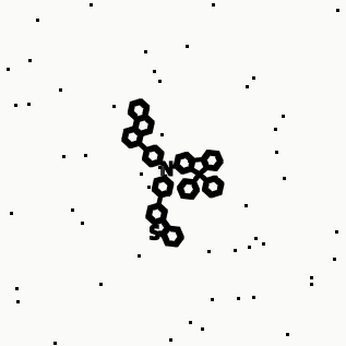 c1ccc(C2(c3ccccc3)c3ccccc3-c3ccc(N(c4ccc(-c5ccc6sc7ccccc7c6c5)cc4)c4ccc(-c5cccc6c5ccc5ccccc56)cc4)cc32)cc1